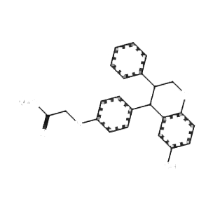 COC(=O)CSc1ccc(C2c3cc(O)ccc3OCC2c2ccccc2)cc1